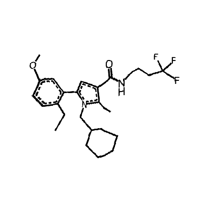 CCc1ccc(OC)cc1-c1cc(C(=O)NCCC(F)(F)F)c(C)n1CC1CCCCC1